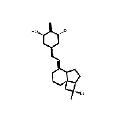 C=C1[C@H](O)CC(=C/C=C2\CCC[C@]34C[C@](C)(CC)C3CCC24)C[C@H]1O